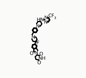 O=C1CCC(N2Cc3cc(C4(F)CCN(Cc5ccc(N6CCC(Nc7nccc(C(F)(F)F)n7)CC6)cc5)CC4)ccc3C2=O)C(=O)N1